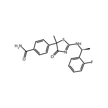 C[C@H](NC1=NC(=O)C(C)(c2ccc(C(N)=O)cc2)S1)c1ccccc1F